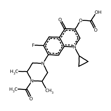 CC(=O)N1C(C)CN(c2cc3c(cc2F)c(=O)c(OC(=O)O)cn3C2CC2)CC1C